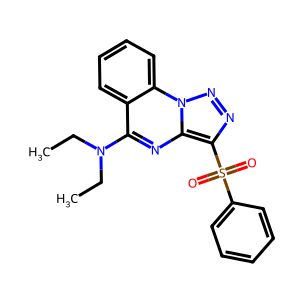 CCN(CC)c1nc2c(S(=O)(=O)c3ccccc3)nnn2c2ccccc12